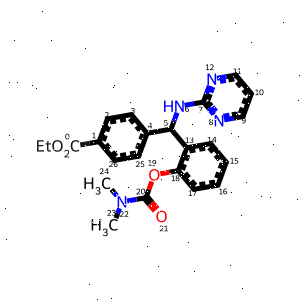 CCOC(=O)c1ccc(C(Nc2ncccn2)c2ccccc2OC(=O)N(C)C)cc1